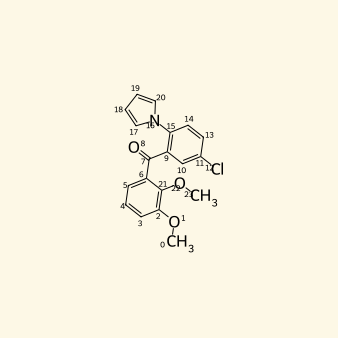 COc1cccc(C(=O)c2cc(Cl)ccc2-n2cccc2)c1OC